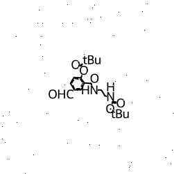 CC(C)(C)OC(=O)NCCNC(=O)c1cc(C=O)ccc1OC(=O)C(C)(C)C